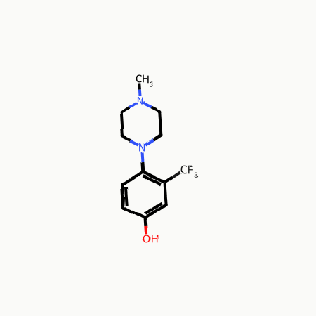 CN1CCN(c2ccc(O)cc2C(F)(F)F)CC1